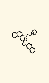 O=C(Cc1c(OCCN2CCCC2)ccc2ccccc12)Oc1ccc2ccccc2c1